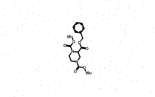 CC(C)(C)OC(=O)N1CCN(C(=O)OC(C)(C)C)C(C(=O)OCc2ccccc2)C1